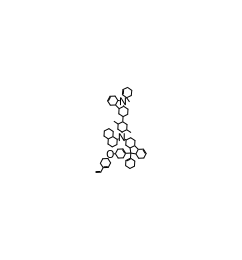 C=CC1=CC[C@@H](OC2CC=C(C3(C4=CCCCC4)C4CCC=CC4C4CCC(N(C5CC(C)C(C6CCC7C(C6)C6CC=CCC6N7C6(C)C=CCCC6)CC5C)C5CCCC6CCCCC65)CC43)CC2)CC1